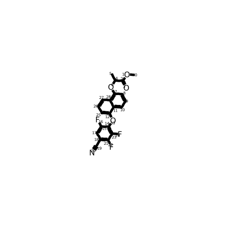 COC(=O)C(C)Oc1cccc2c(Oc3c(F)cc(C#N)c(F)c3F)cccc12